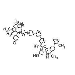 Cc1ncsc1-c1ccc([C@H](C)NC(=O)[C@@H]2C[C@@H](O)CN2C(=O)[C@@H](C(C)C)n2cc(-c3ccnc(N4CCN(C(=O)C[C@@H]5N=C(c6ccc(Cl)cc6)c6c(sc(C)c6C)-n6c(C)nnc65)CC4)c3)cn2)cc1